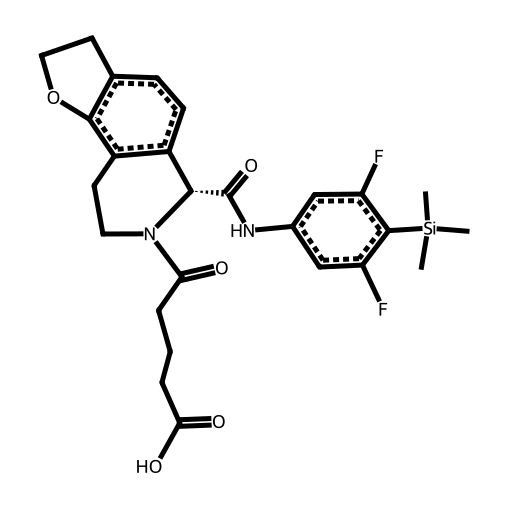 C[Si](C)(C)c1c(F)cc(NC(=O)[C@H]2c3ccc4c(c3CCN2C(=O)CCCC(=O)O)OCC4)cc1F